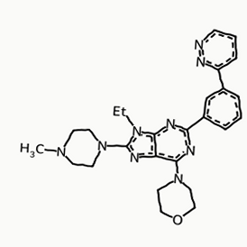 CCn1c(N2CCN(C)CC2)nc2c(N3CCOCC3)nc(-c3cccc(-c4cccnn4)c3)nc21